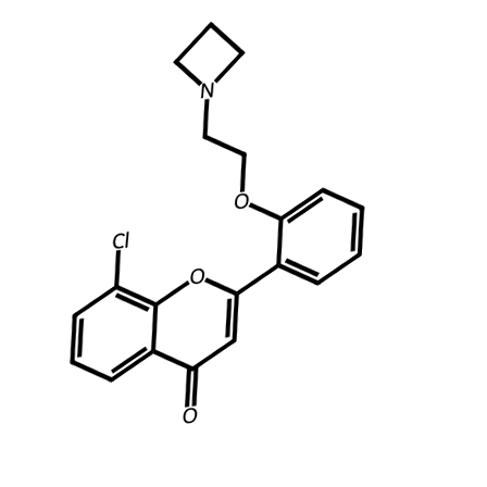 O=c1cc(-c2ccccc2OCCN2CCC2)oc2c(Cl)cccc12